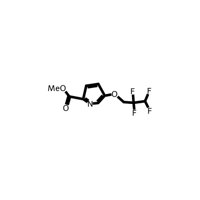 COC(=O)c1ccc(OCC(F)(F)C(F)F)cn1